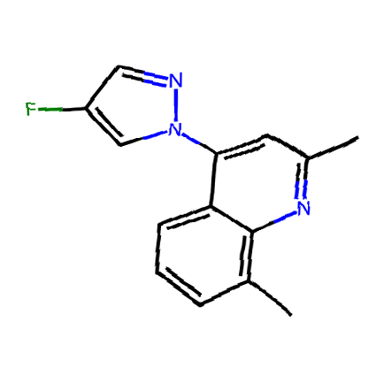 Cc1cc(-n2cc(F)cn2)c2cccc(C)c2n1